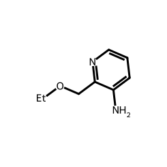 CCOCc1ncccc1N